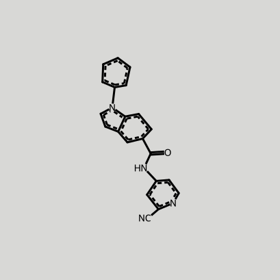 N#Cc1cc(NC(=O)c2ccc3c(ccn3-c3ccccc3)c2)ccn1